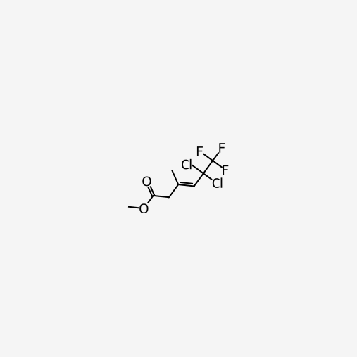 COC(=O)C/C(C)=C/C(Cl)(Cl)C(F)(F)F